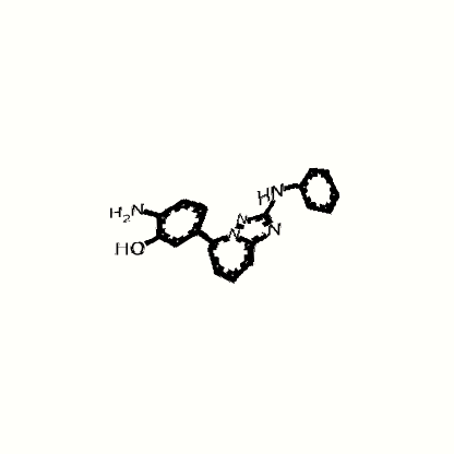 Nc1ccc(-c2cccc3nc(Nc4ccccc4)nn23)cc1O